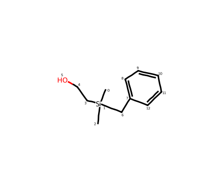 C[Si](C)(CCO)Cc1ccccc1